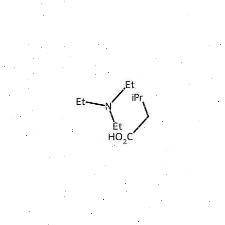 CC(C)CC(=O)O.CCN(CC)CC